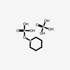 O=P(O)(O)O.O=P(O)(O)ON1CCCCC1